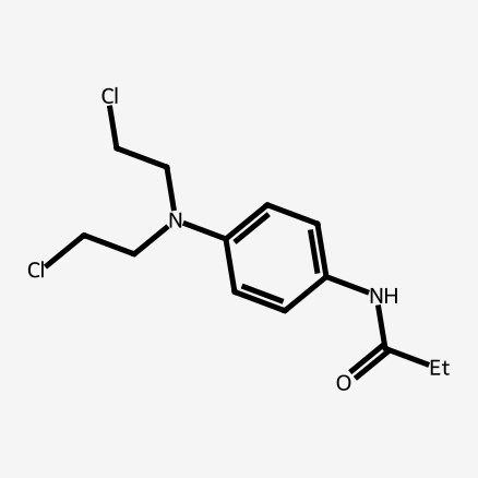 CCC(=O)Nc1ccc(N(CCCl)CCCl)cc1